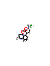 C/C=c1/c(C2CC/C(=C\Br)OC2=O)ccc/c1=C/CC